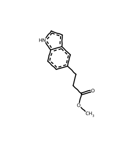 COC(=O)CCc1ccc2[nH]ccc2c1